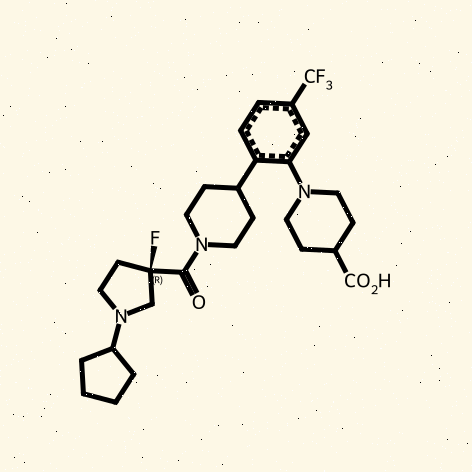 O=C(O)C1CCN(c2cc(C(F)(F)F)ccc2C2CCN(C(=O)[C@@]3(F)CCN(C4CCCC4)C3)CC2)CC1